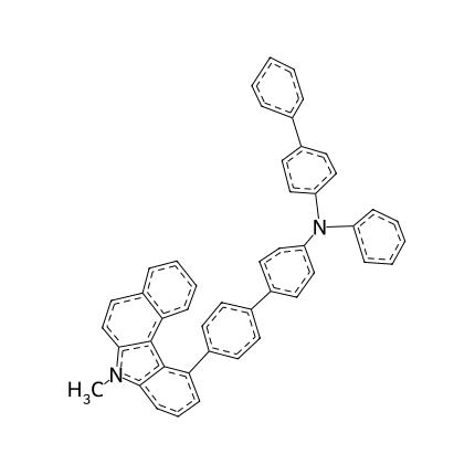 Cn1c2cccc(-c3ccc(-c4ccc(N(c5ccccc5)c5ccc(-c6ccccc6)cc5)cc4)cc3)c2c2c3ccccc3ccc21